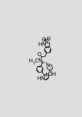 CN(C(=O)Cc1ccc2c(c1)NS(=O)(=O)C2)[C@H](CN1CC[C@H](O)C1)c1cccc(-c2ncc[nH]2)c1